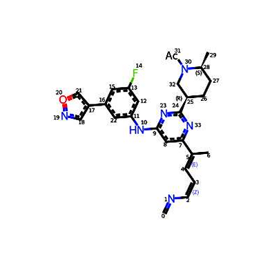 C=N/C=C\C=C(/C)c1cc(Nc2cc(F)cc(-c3cnoc3)c2)nc([C@@H]2CC[C@H](C)N(C(C)=O)C2)n1